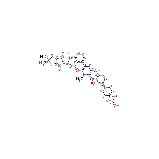 CN1C=C(c2ccnc(N3CCn4c5c(c(F)c4C3=O)CC(C)(C)C5)c2CO)C=C(Nc2ccc(N3CCC4(CC3)CC(O)C4)cn2)C1=C=O